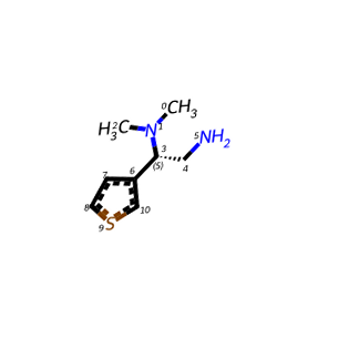 CN(C)[C@H](CN)c1ccsc1